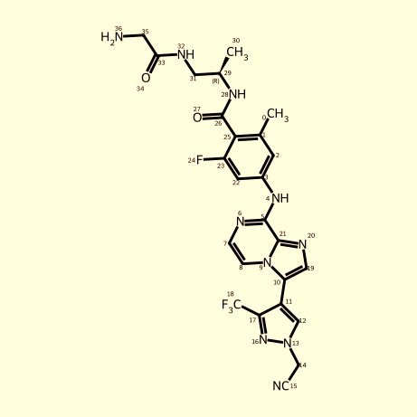 Cc1cc(Nc2nccn3c(-c4cn(CC#N)nc4C(F)(F)F)cnc23)cc(F)c1C(=O)N[C@H](C)CNC(=O)CN